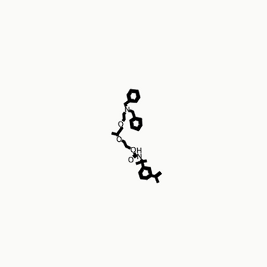 C=C(C)c1cccc(C(C)(C)NC(=O)OCCOC(C)COCCN(Cc2ccccc2)Cc2ccccc2)c1